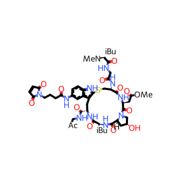 CC[C@H](C)[C@H](NC)C(=O)NCC(=O)N[C@H]1CSc2[nH]c3ccc(NC(=O)CCCN4C(=O)C=CC4=O)cc3c2C[C@@H](C(=O)NCC(C)=O)NC(=O)[C@H]([C@@H](C)CC)NC(=O)[C@@H]2C[C@@H](O)CN2C(=O)[C@H](CC(=O)OC)NC1=O